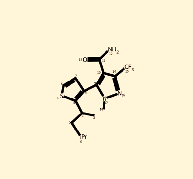 CC(C)CC(C)c1sccc1-c1c(C(N)=O)c(C(F)(F)F)nn1C